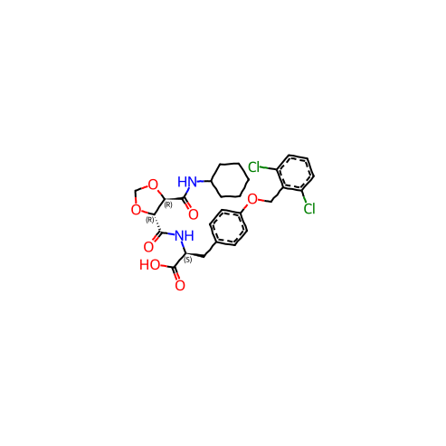 O=C(O)[C@H](Cc1ccc(OCc2c(Cl)cccc2Cl)cc1)NC(=O)[C@@H]1OCO[C@H]1C(=O)NC1CCCCC1